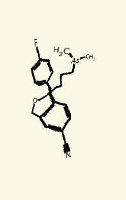 C[As](C)CCCC1(c2ccc(F)cc2)OCc2cc(C#N)ccc21